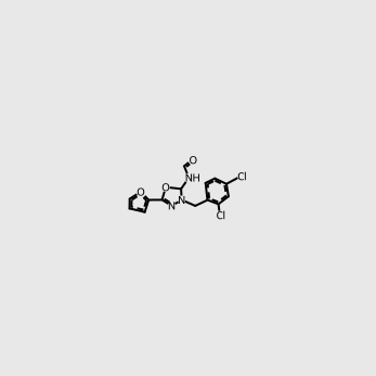 O=CNC1OC(c2ccco2)=NN1Cc1ccc(Cl)cc1Cl